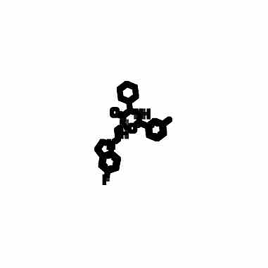 Cc1cccc(C(=O)NC(C(=O)NCCN2CCc3cc(F)ccc32)C2CCCCC2)c1